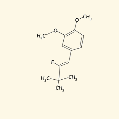 COc1ccc(C=C(F)C(C)(C)C)cc1OC